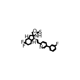 Fc1cccc(-c2ccc(/C=C/[C@H]3[C@@H]4CCC(F)(F)C[C@H]4CC34COC(=S)N4)nc2)c1